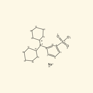 O=S(=O)([O-])c1cccc(P(C2CCCCC2)C2CCCCC2)c1.[Na+]